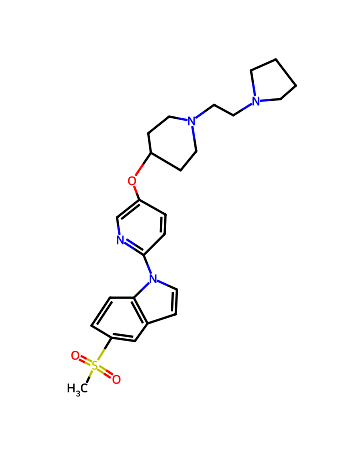 CS(=O)(=O)c1ccc2c(ccn2-c2ccc(OC3CCN(CCN4CCCC4)CC3)cn2)c1